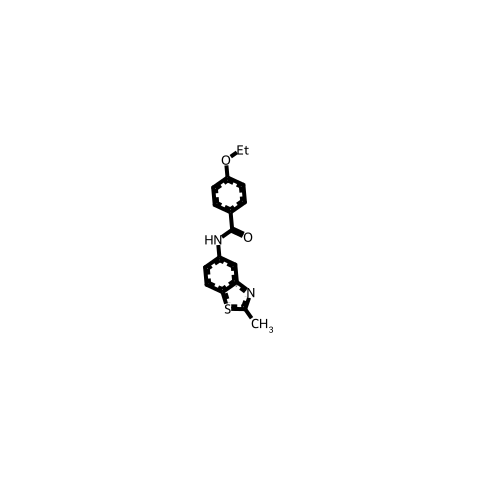 CCOc1ccc(C(=O)Nc2ccc3sc(C)nc3c2)cc1